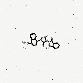 COc1ccc(N2C[C@@H](C)[C@H](N3C(=O)c4ccccc4C3=O)C2=O)c2ncccc12